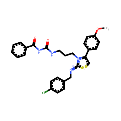 O=C(NCCCn1c(-c2ccc(OC(F)(F)F)cc2)cs/c1=N\Cc1ccc(Cl)cc1)NC(=O)c1ccccc1